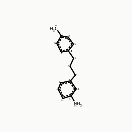 Cc1ccc(CCCc2cccc(N)c2)cc1